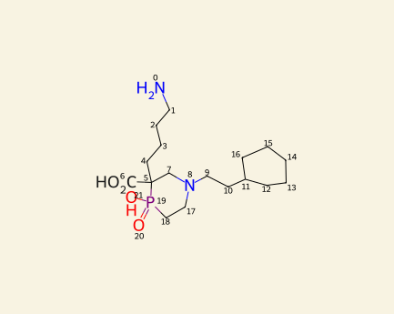 NCCCCC1(C(=O)O)CN(CCC2CCCCC2)CCP1(=O)O